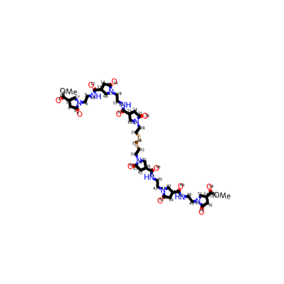 COC(=O)C1CC(=O)N(CCNC(=O)C2CC(=O)N(CCNC(=O)C3CC(=O)N(CCSSCCN4CC(C(=O)NCCN5CC(C(=O)NCCN6CC(C(=O)OC)CC6=O)CC5=O)CC4=O)C3)C2)C1